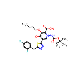 CCCCOc1c(C(=O)O)n(NC(=O)OC(C)(C)C)cc(-c2nnc(Cc3ccc(F)cc3F)s2)c1=O